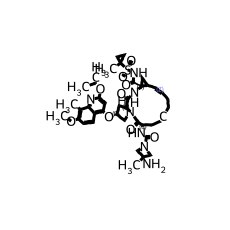 COc1ccc2c(O[C@@H]3C[C@H]4C(=O)N[C@]5(C(=O)NS(=O)(=O)C6(C)CC6)CC5/C=C\CCCCC[C@H](NC(=O)N5CC(C)(N)C5)C(=O)N4C3)cc(OC(C)C)nc2c1C